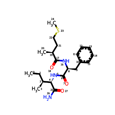 CC[C@H](C)[C@H](NC(=O)[C@H](Cc1ccccc1)NC(=O)[C@@H](C)CCSC)C(N)=O